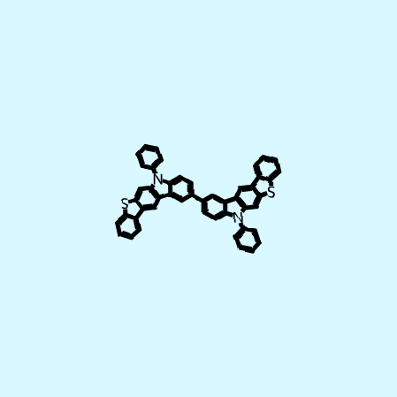 c1ccc(-n2c3ccc(-c4ccc5c(c4)c4cc6c(cc4n5-c4ccccc4)sc4ccccc46)cc3c3cc4c(cc32)sc2ccccc24)cc1